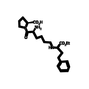 CCOC(=O)C(CCc1ccccc1)NCCCC[C@H](N)C(=O)N1CCC[C@H]1C(=O)O